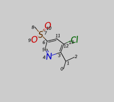 CC(C)c1ncc(S(C)(=O)=O)cc1Cl